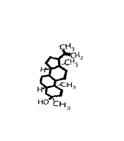 C=C(C)C1CC[C@H]2C3CC[C@H]4C[C@](C)(O)CC[C@]4(C)C3CC[C@]12C